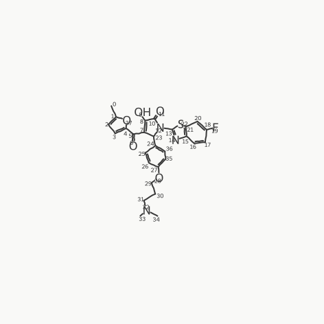 Cc1ccc(C(=O)C2=C(O)C(=O)N(c3nc4ccc(F)cc4s3)C2c2ccc(OCCCN(C)C)cc2)o1